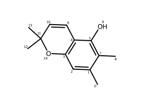 Cc1cc2c(c(O)c1C)C=CC(C)(C)O2